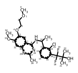 COCCOc1cc2c(NC(C)c3cccc(C(F)(F)C(C)(C)O)c3Cl)nc(C)nc2cc1OC